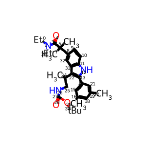 CCN(CC)C(=O)C(C)(C)c1ccc2[nH]c(-c3cc(C)cc(C)c3)c(C(C)CNC(=O)OC(C)(C)C)c2c1